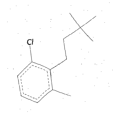 Cc1cccc(Cl)c1CCC(C)(C)C